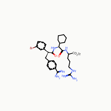 CCOC(=O)C(CCCNC(=N)N)NC(=O)[C@@H](NC(=O)[C@@H](Cc1ccc(C(=N)N)cc1)c1cccc(Br)c1)C1CCCCC1